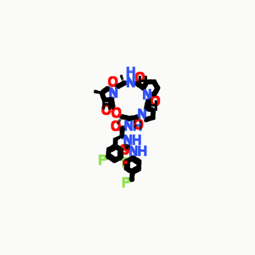 C[C@@H]1C[C@H]2C(=O)O[C@@H](C)[C@H](NC(=O)[C@H](Cc3cc(F)cc(F)c3)NC(=O)Nc3ccc(CF)cc3)C(=O)N3CCC[C@H]3C(=O)N3CCCC[C@H]3C(=O)N[C@@H](C)C(=O)N2C1